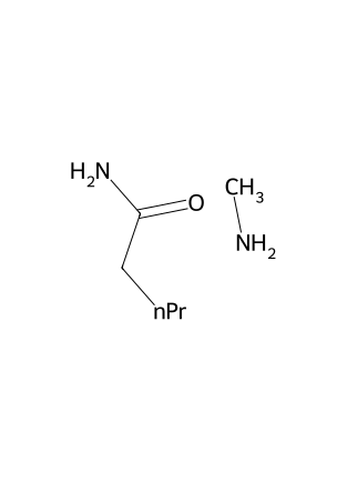 CCCCC(N)=O.CN